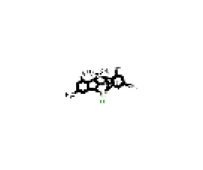 CCC1=C2c3c(C(C)C)cc(C)cc3[CH]1[Zr+2][CH]1C(CC)=C(c3c(C(C)C)cc(C)cc31)[Si]2(C)C.[Cl-].[Cl-]